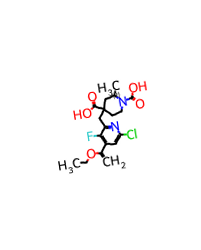 C=C(OCC)c1cc(Cl)nc(CC2(C(=O)O)CCN(C(=O)O)[C@H](C)C2)c1F